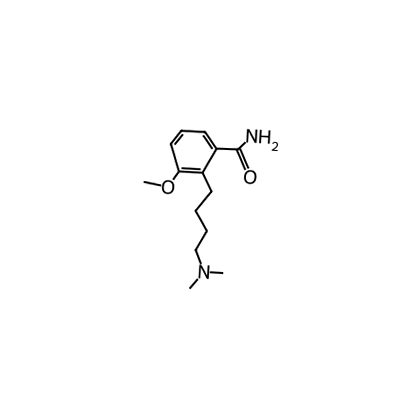 COc1cccc(C(N)=O)c1CCCCN(C)C